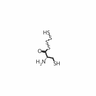 N[C@@H](CS)C(=O)SSSS